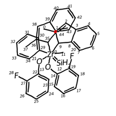 CC1=Cc2ccccc2[CH]1[Zr]([CH3])(=[SiH2])([O]c1ccccc1F)([O]c1ccccc1F)([c]1ccccc1)[CH]1C(C)=Cc2ccccc21